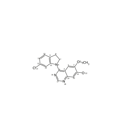 COc1cc2c(N3CCc4ccc(Cl)cc43)ncnc2cc1[O]